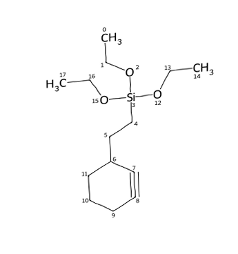 CCO[Si](CCC1C#CCCC1)(OCC)OCC